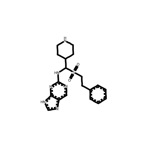 O=S(=O)(CCc1ccccc1)C(Nc1ncc2nc[nH]c2n1)C1CCNCC1